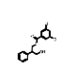 O=C(OCC(CO)c1ccccc1)c1cc(Cl)cc(Cl)c1